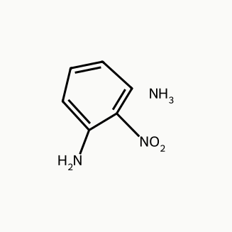 N.Nc1ccccc1[N+](=O)[O-]